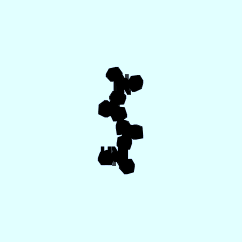 c1ccc(C2=NC(c3ccc(-n4c5ccccc5c5cc(-c6ccc7c(c6)c6ccccc6n7-c6ccc(-c7nc(-c8ccccc8)nc(-c8ccccc8)n7)cc6)ccc54)cc3)NC(c3ccccc3)=N2)cc1